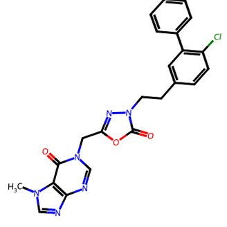 Cn1cnc2ncn(Cc3nn(CCc4ccc(Cl)c(-c5ccccc5)c4)c(=O)o3)c(=O)c21